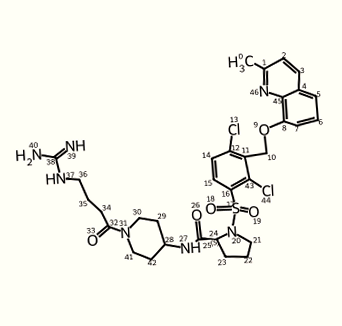 Cc1ccc2cccc(OCc3c(Cl)ccc(S(=O)(=O)N4CCC[C@H]4C(=O)NC4CCN(C(=O)CCCNC(=N)N)CC4)c3Cl)c2n1